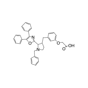 O=C(O)COc1cccc(CC2CCN(Cc3ccccc3)C2c2nc(-c3ccccc3)c(-c3ccccc3)o2)c1